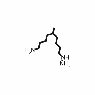 C[C](CCCCN)CCCCNN